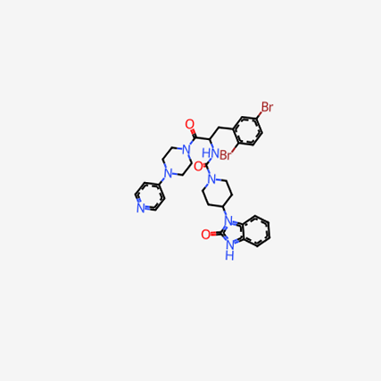 O=C(NC(Cc1cc(Br)ccc1Br)C(=O)N1CCN(c2ccncc2)CC1)N1CCC(n2c(=O)[nH]c3ccccc32)CC1